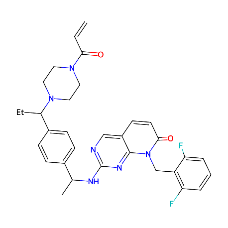 C=CC(=O)N1CCN(C(CC)c2ccc(C(C)Nc3ncc4ccc(=O)n(Cc5c(F)cccc5F)c4n3)cc2)CC1